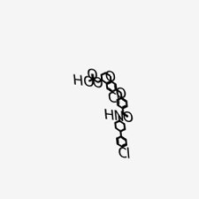 O=C(O)OC1CCOc2cc(Oc3ccc(C(=O)NC4CCC(c5ccc(Cl)cc5)CC4)cc3)c(Cl)cc21